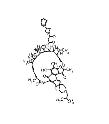 CO[C@H]1/C=C/O[C@@]2(C)Oc3c(C)c(O)c4c(c3C2=O)C2=NC3(CCN(CC(C)C)CC3)NC2=C(NC(=O)/C(C)=C\C=C\[C@H](C)[C@H](O)[C@@H](C)[C@@H](O)[C@@H](C)[C@H](OC(=O)CC(=O)N2CC(n3cccc3)C2)[C@@H]1C)C4=O